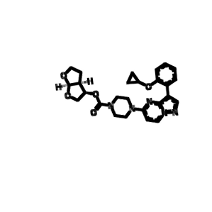 O=C(O[C@H]1CO[C@H]2OCC[C@H]21)N1CCN(c2ccn3ncc(-c4ccccc4OC4CC4)c3n2)CC1